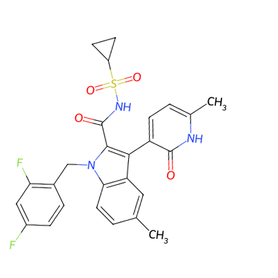 Cc1ccc2c(c1)c(-c1ccc(C)[nH]c1=O)c(C(=O)NS(=O)(=O)C1CC1)n2Cc1ccc(F)cc1F